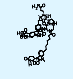 C[C@@H](OCc1ccccc1)[C@H](CCC(N)=O)NC(=O)[C@@H]1CC[C@@H]2CCN(C(=O)CCCCCCc3ccc4c(c3)n(C)c(=O)n4C3CCC(=O)NC3=O)C[C@H](NC(=O)c3cc4cc(C(=O)P(=O)(O)O)ccc4[nH]3)C(=O)N21